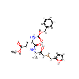 CCCC[C@H](NC(=O)[C@H](CCC(=O)OC(C)(C)C)NC(=O)OCc1ccccc1)C(=O)CSCc1ccco1